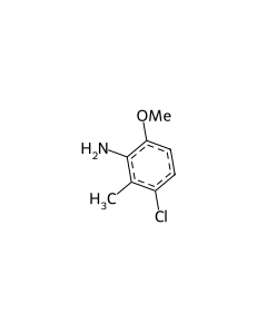 COc1ccc(Cl)c(C)c1N